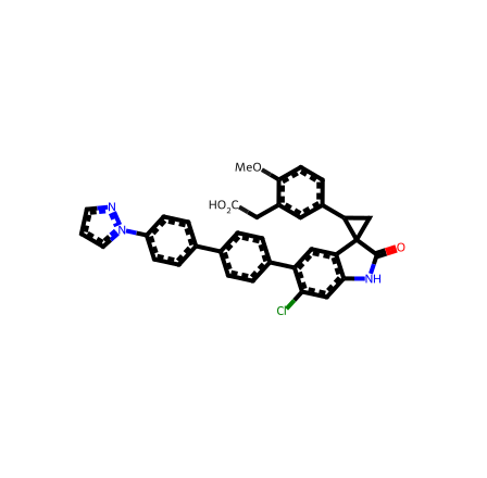 COc1ccc(C2CC23C(=O)Nc2cc(Cl)c(-c4ccc(-c5ccc(-n6cccn6)cc5)cc4)cc23)cc1CC(=O)O